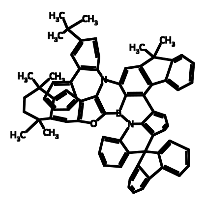 CC(C)(C)c1ccc(N2c3cc4c(c5c3B(c3oc6cc7c(cc6c32)C(C)(C)CCC7(C)C)N2c3ccccc3C3(c6ccccc6-c6ccccc63)c3cccc-5c32)-c2ccccc2C4(C)C)c(-c2ccccc2)c1